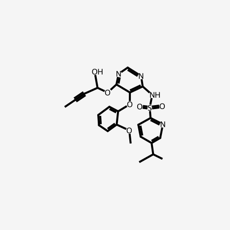 CC#CC(O)Oc1ncnc(NS(=O)(=O)c2ccc(C(C)C)cn2)c1Oc1ccccc1OC